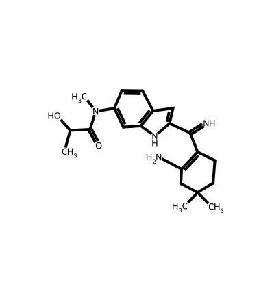 CC(O)C(=O)N(C)c1ccc2cc(C(=N)C3=C(N)CC(C)(C)CC3)[nH]c2c1